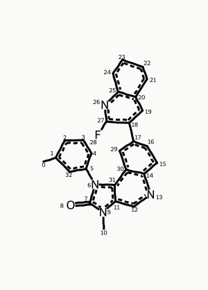 Cc1cccc(-n2c(=O)n(C)c3cnc4ccc(-c5cc6ccccc6nc5F)cc4c32)c1